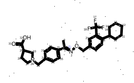 C/C(=N\OCc1ccc(C2CCCCC2)c(C(F)(F)F)c1)c1ccc(CN2CCC(C(=O)O)C2)cc1